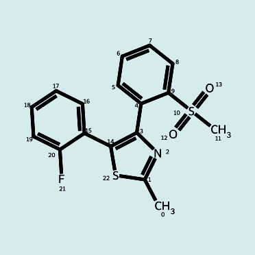 Cc1nc(-c2ccccc2S(C)(=O)=O)c(-c2ccccc2F)s1